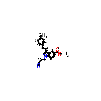 COC(=O)c1ccc2c(c1)c(CCc1ccc(C)cc1)cn2CCC#N